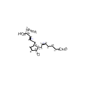 CCCCC[C@@H](O)/C=C/CN1CC[C@@H](Cl)[C@@H]1C/C=C\CCCC=O